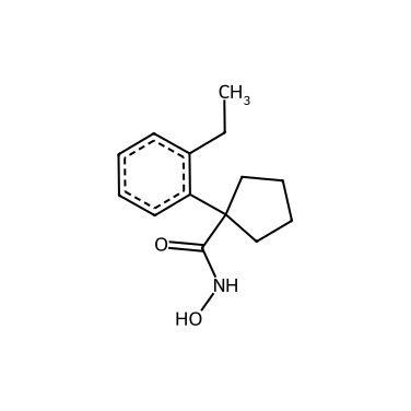 CCc1ccccc1C1(C(=O)NO)CCCC1